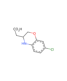 O=C(O)CC1COc2cc(Cl)ccc2N1